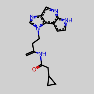 C=C(CCn1cnc2cnc3[nH]ccc3c21)NC(=O)CC1CC1